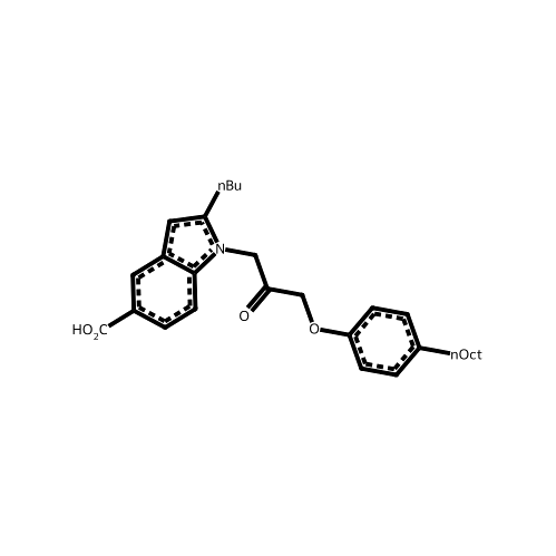 CCCCCCCCc1ccc(OCC(=O)Cn2c(CCCC)cc3cc(C(=O)O)ccc32)cc1